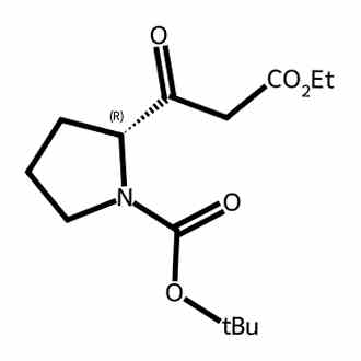 CCOC(=O)CC(=O)[C@H]1CCCN1C(=O)OC(C)(C)C